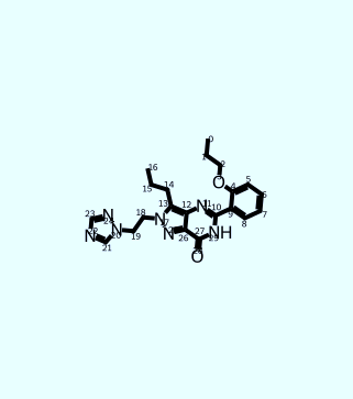 CCCOc1ccccc1-c1nc2c(CCC)n(CCn3cncn3)nc2c(=O)[nH]1